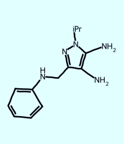 CC(C)n1nc(CNc2ccccc2)c(N)c1N